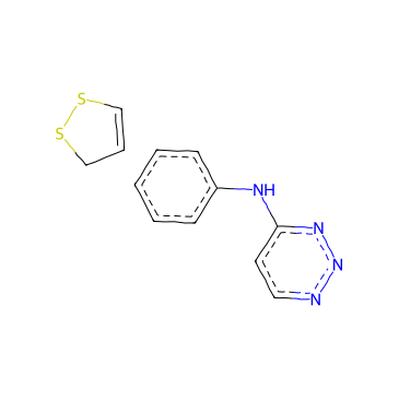 C1=CSSC1.c1ccc(Nc2ccnnn2)cc1